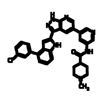 CN1CCC(C(=O)Nc2cncc(-c3cnc4[nH]nc(-c5cc6c(-c7cccc(Cl)c7)cccc6[nH]5)c4c3)c2)CC1